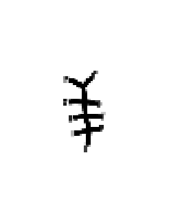 FC(F)(F)C(F)(F)C(F)(Cl)C(Cl)Cl